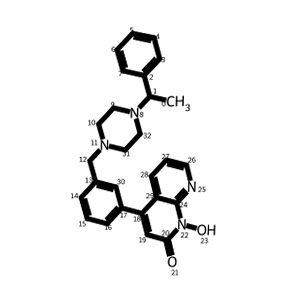 CC(c1ccccc1)N1CCN(Cc2cccc(-c3cc(=O)n(O)c4ncccc34)c2)CC1